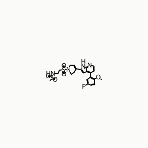 COc1ccc(F)cc1-c1ccnc2[nH]c(C3=CCN(S(=O)(=O)CCNS(C)(=O)=O)CC3)cc12